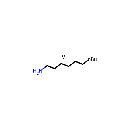 CCCCCCCCCCN.[V]